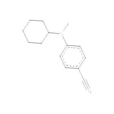 CN(c1ccc(C#N)cc1)C1CCCCC1